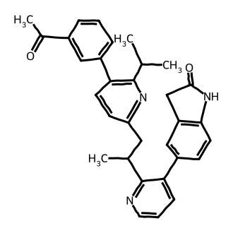 CC(=O)c1cccc(-c2ccc(CC(C)c3ncccc3-c3ccc4c(c3)CC(=O)N4)nc2C(C)C)c1